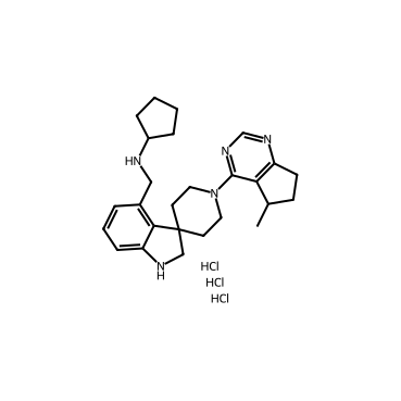 CC1CCc2ncnc(N3CCC4(CC3)CNc3cccc(CNC5CCCC5)c34)c21.Cl.Cl.Cl